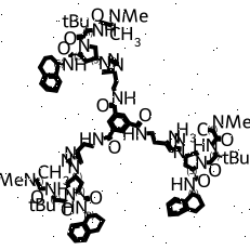 CN[C@@H](C)C(=O)N[C@H](C(=O)N1CC(n2cc(CCNC(=O)c3cc(C(=O)NCCc4cn([C@H]5C[C@@H](C(=O)N[C@@H]6CCCc7ccccc76)N(C(=O)[C@@H](NC(=O)[C@H](C)NC)C(C)(C)C)C5)nn4)cc(C(=O)NCCc4cn([C@H]5C[C@@H](C(=O)N[C@@H]6CCCc7ccccc76)N(C(=O)[C@@H](NC(=O)[C@H](C)NC)C(C)(C)C)C5)nn4)c3)nn2)C[C@H]1C(=O)N[C@@H]1CCCc2ccccc21)C(C)(C)C